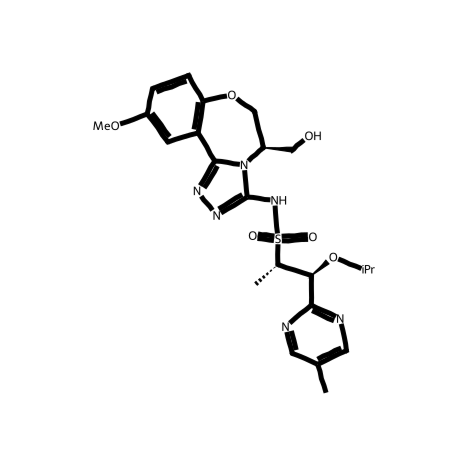 COc1ccc2c(c1)-c1nnc(NS(=O)(=O)[C@@H](C)[C@@H](OC(C)C)c3ncc(C)cn3)n1[C@H](CO)CO2